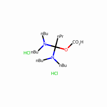 CCCCN(CCCC)C(CCC)(OC(=O)O)N(CCCC)CCCC.Cl.Cl